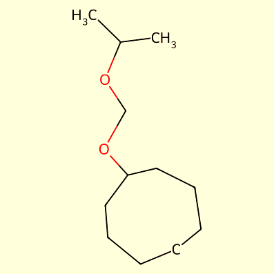 CC(C)OCOC1CCCCCCC1